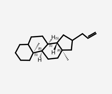 C=CCC1C[C@H]2[C@@H]3CCC4CCCC[C@]4(C)[C@@H]3CC[C@]2(C)C1